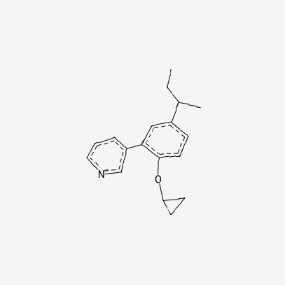 CCC(C)c1ccc(OC2CC2)c(-c2cccnc2)c1